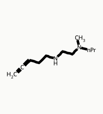 C=C=CCCNCCN(C)CCC